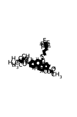 CCC1(C)OB(c2ccc3c(c2)C[C@@H](CSCCCC(F)(F)C(F)(F)F)[C@@H]2[C@@H]3CC[C@]3(C)[C@@H](OC(C)=O)CC[C@@H]23)OC1(C)C